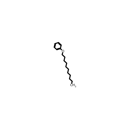 CCCCCCCCCCCOc1cc[c]cc1